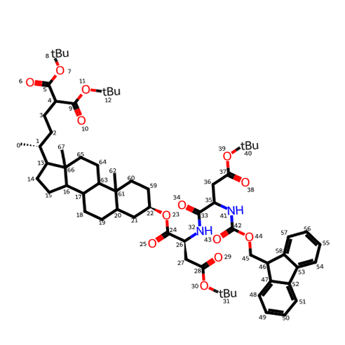 C[C@H](CCC(C(=O)OC(C)(C)C)C(=O)OC(C)(C)C)C1CCC2C3CCC4C[C@H](OC(=O)[C@H](CC(=O)OC(C)(C)C)NC(=O)C(CC(=O)OC(C)(C)C)NC(=O)OCC5c6ccccc6-c6ccccc65)CCC4(C)C3CCC21C